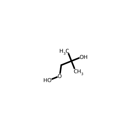 CC(C)(O)COO